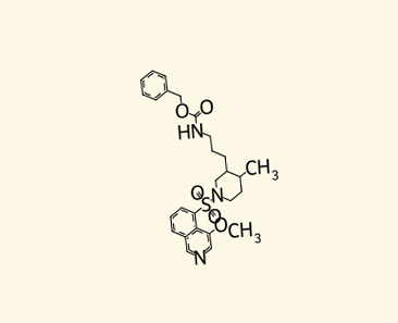 COc1cncc2cccc(S(=O)(=O)N3CCC(C)C(CCCNC(=O)OCc4ccccc4)C3)c12